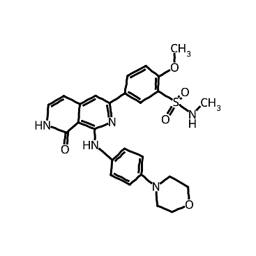 CNS(=O)(=O)c1cc(-c2cc3cc[nH]c(=O)c3c(Nc3ccc(N4CCOCC4)cc3)n2)ccc1OC